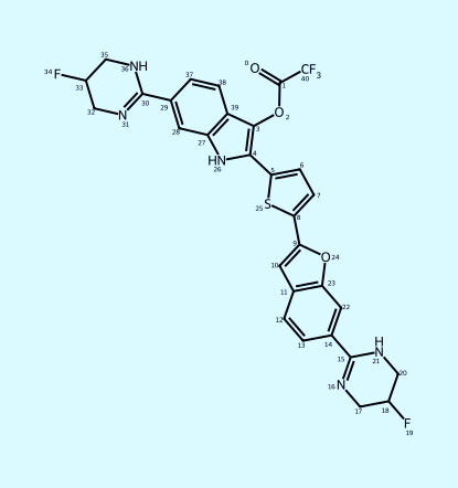 O=C(Oc1c(-c2ccc(-c3cc4ccc(C5=NCC(F)CN5)cc4o3)s2)[nH]c2cc(C3=NCC(F)CN3)ccc12)C(F)(F)F